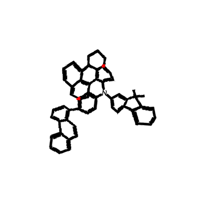 CC1(C)c2ccccc2-c2ccc(N(c3ccc(-c4cccc5c4ccc4ccccc45)cc3)c3ccccc3-c3cccc4cccc(C5CCCCC5)c34)cc21